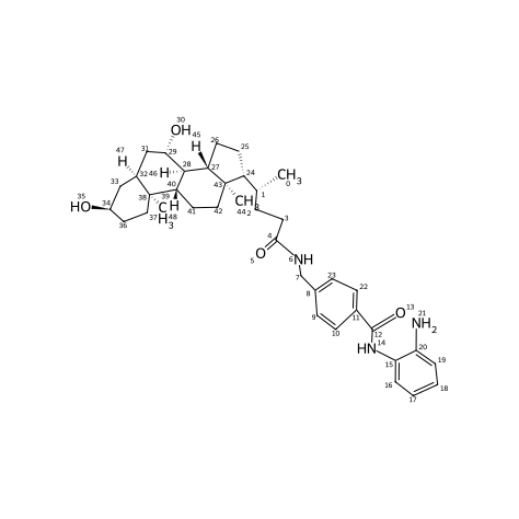 C[C@H](CCC(=O)NCc1ccc(C(=O)Nc2ccccc2N)cc1)[C@H]1CC[C@H]2[C@@H]3[C@@H](O)C[C@@H]4C[C@H](O)CC[C@]4(C)[C@H]3CC[C@]12C